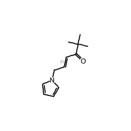 CC(C)(C)C(=O)/C=C/Cn1cccc1